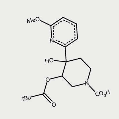 COc1cccc(C2(O)CCN(C(=O)O)CC2OC(=O)C(C)(C)C)n1